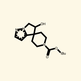 CC(C)(C)OC(=O)N1CCC2(CC1)c1ccnn1CC2O